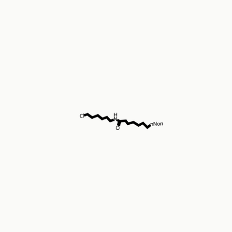 CCCCCCCCCCCCCCCC(=O)NCCCCCCCl